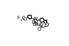 CC(C)(C)OC(=O)CC1CCc2cc3ccc(-c4noc(-c5cccc(OC(F)(F)F)c5)n4)cc3n21